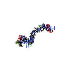 C[C@@H]1CN(c2ccc3c(C4CCC(=O)NC4=O)nn(C)c3c2F)CC[C@H]1CN1CCC2(CC1)CCN(c1ncc(Cl)c(Nc3ccc4c(c3)c3c(c(=O)n4C)OCC(F)(F)[C@H](C4CC4)N3)n1)CC2